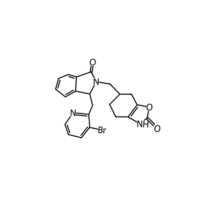 O=C1c2ccccc2C(Cc2ncccc2Br)N1CC1CCc2[nH]c(=O)oc2C1